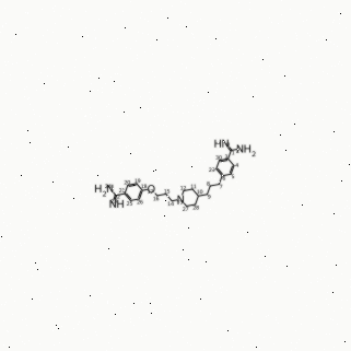 N=C(N)c1ccc(CCCC2CCN(CCCOc3ccc(C(=N)N)cc3)CC2)cc1